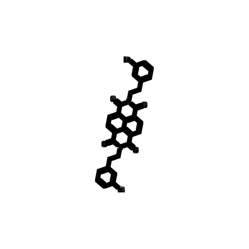 CCc1cccc(CCN2C(=O)c3ccc4c5c(ccc(c35)C2=O)C(=O)N(CCc2cccc(CC)c2)C4=O)c1